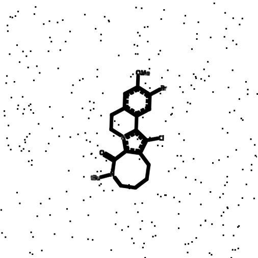 COc1cc2c(cc1Br)-c1c(Cl)c3c(n1CC2)C(=O)N(C(C)(C)C)CCCC3